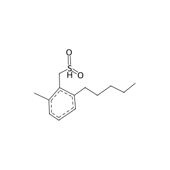 CCCCCc1cccc(C)c1C[SH](=O)=O